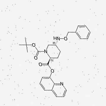 CC(C)(C)OC(=O)N1C[C@H](NOCc2ccccc2)CC[C@H]1C(=O)Oc1cccc2cccnc12